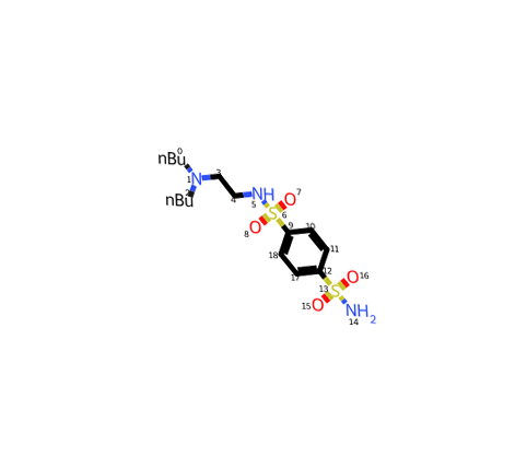 CCCCN(CCCC)CCNS(=O)(=O)c1ccc(S(N)(=O)=O)cc1